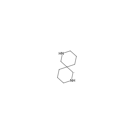 [CH]1NCCCC12CCCNC2